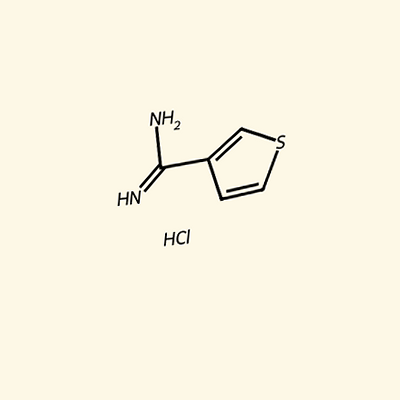 Cl.N=C(N)c1ccsc1